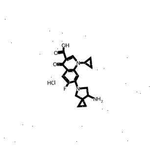 Cl.NC1CN(c2cc3c(cc2F)c(=O)c(C(=O)O)cn3C2CC2)CC12CC2